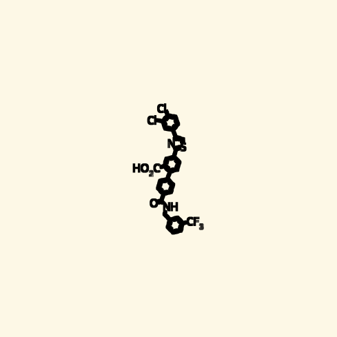 O=C(NCc1cccc(C(F)(F)F)c1)c1ccc(-c2ccc(-c3nc(-c4ccc(Cl)c(Cl)c4)cs3)cc2C(=O)O)cc1